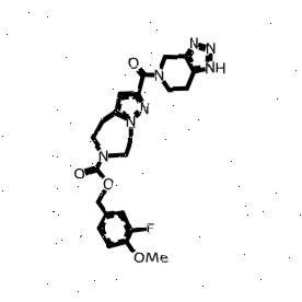 COc1ccc(COC(=O)N2CCc3cc(C(=O)N4CCc5[nH]nnc5C4)nn3CC2)cc1F